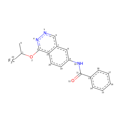 CC(Oc1nncc2cc(NC(=O)c3ccccc3)ccc12)C(F)(F)F